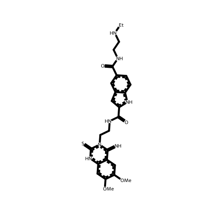 CCNCCNC(=O)c1ccc2[nH]c(C(=O)NCCn3c(=S)[nH]c4cc(OC)c(OC)cc4c3=N)cc2c1